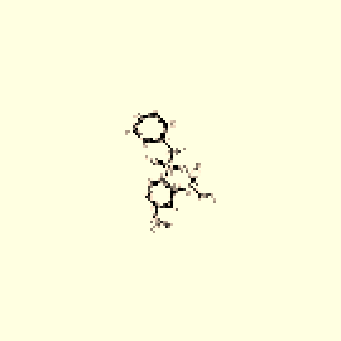 COc1ccc(S(=O)(=O)Nc2[c]cccc2)c([N+](N)=O)c1